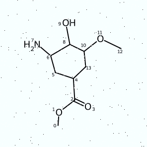 COC(=O)C1CC(N)C(O)C(OC)C1